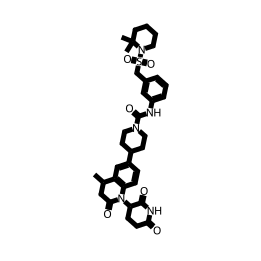 CC1CC(=O)N(C2CCC(=O)NC2=O)c2ccc(C3CCN(C(=O)Nc4cccc(CS(=O)(=O)N5CCCCC5(C)C)c4)CC3)cc21